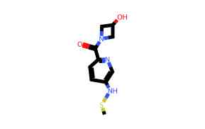 CSNc1ccc(C(=O)N2CC(O)C2)nc1